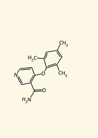 Cc1cc(C)c(Oc2ccncc2C(N)=O)c(C)c1